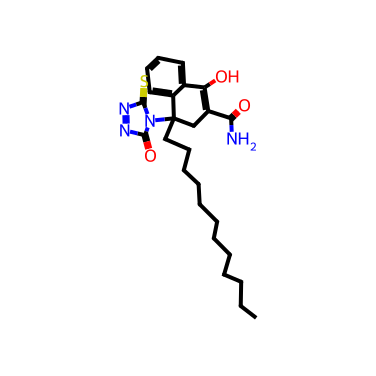 CCCCCCCCCCCCC1(N2C(=O)N=NC2=S)CC(C(N)=O)=C(O)c2ccccc21